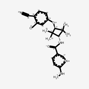 CNc1ccc(C(=O)N[C@H]2C(C)(C)[C@H](Oc3ccc(C#N)c(Cl)c3)C2(C)C)cn1